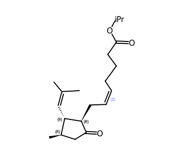 CC(C)=C[C@H]1[C@H](C)CC(=O)[C@@H]1C/C=C\CCCC(=O)OC(C)C